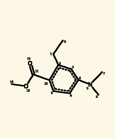 CCc1cc(N(C)C)ccc1C(=O)OC